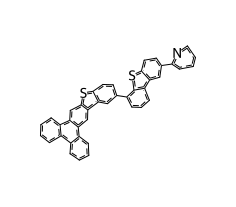 c1ccc(-c2ccc3sc4c(-c5ccc6sc7cc8c9ccccc9c9ccccc9c8cc7c6c5)cccc4c3c2)nc1